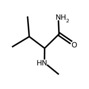 CNC(C(N)=O)C(C)C